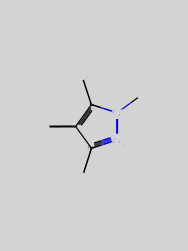 [CH2]c1c(C)nn(C)c1C